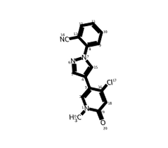 Cn1cc(-c2cnn(-c3ccccc3C#N)c2)c(Cl)cc1=O